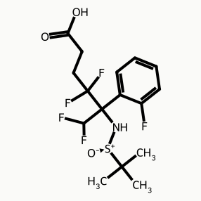 CC(C)(C)[S@@+]([O-])NC(c1ccccc1F)(C(F)F)C(F)(F)CCC(=O)O